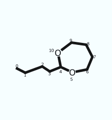 CCCCC1OCCCCO1